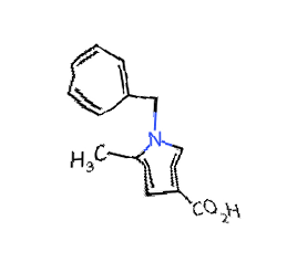 Cc1cc(C(=O)O)cn1Cc1ccccc1